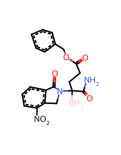 BC(CCC(=O)OCc1ccccc1)(C(N)=O)N1Cc2c(cccc2[N+](=O)[O-])C1=O